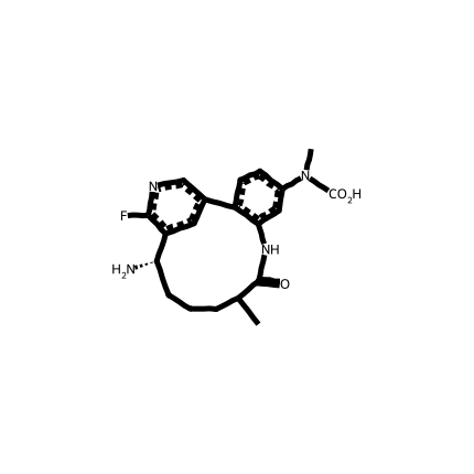 CC1CCC[C@H](N)c2cc(cnc2F)-c2ccc(N(C)C(=O)O)cc2NC1=O